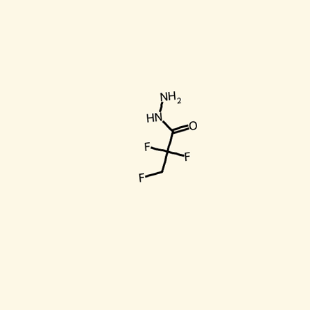 NNC(=O)C(F)(F)CF